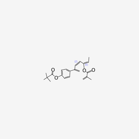 C=C(C)C(=O)OC(/C=C\C(=C)c1ccc(OC(=O)C(C)(C)C)cc1)=C/C